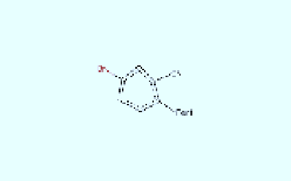 CCCC(C)c1ccc(Br)cc1C#N